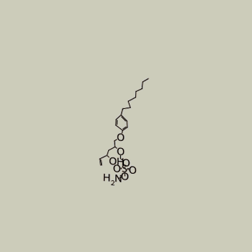 C=CC(O)CC(COc1ccc(CCCCCCCC)cc1)OCOS(=O)(=O)ON